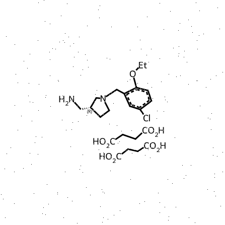 CCOc1ccc(Cl)cc1CN1CC[C@H](CN)C1.O=C(O)CCC(=O)O.O=C(O)CCC(=O)O